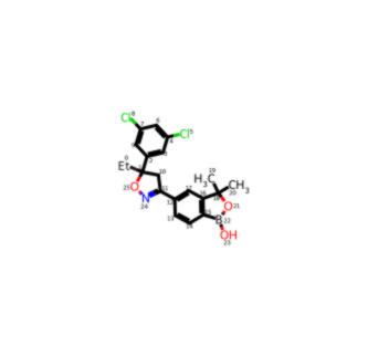 CCC1(c2cc(Cl)cc(Cl)c2)CC(c2ccc3c(c2)C(C)(C)OB3O)=NO1